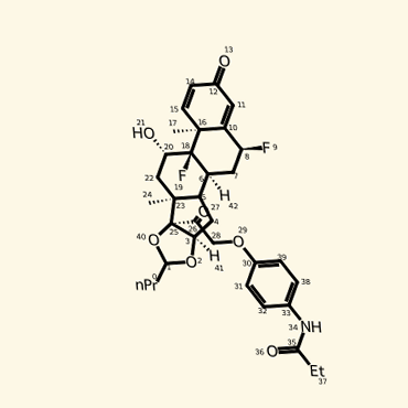 CCCC1O[C@@H]2CC3[C@@H]4C[C@H](F)C5=CC(=O)C=C[C@]5(C)[C@@]4(F)[C@@H](O)C[C@]3(C)[C@]2(C(=O)COc2ccc(NC(=O)CC)cc2)O1